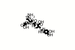 CC(C)(ON=C(C(=O)N[C@@H]1C(=O)N2C(C(=O)O)=C(CSc3nc4cc(O)c(O)cc4[nH]3)CS[C@@H]12)c1csc(N)n1)C(=O)O